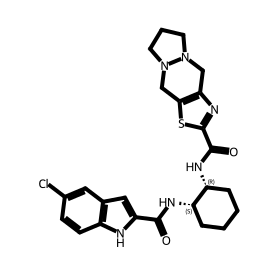 O=C(N[C@H]1CCCC[C@H]1NC(=O)c1nc2c(s1)CN1CCCN1C2)c1cc2cc(Cl)ccc2[nH]1